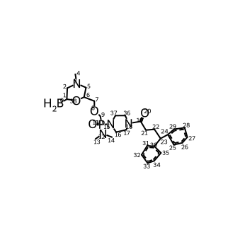 BC1CN(C)CC(COCP(=O)(N(C)C)N2CCN(C(=O)CCC(c3ccccc3)c3ccccc3)CC2)O1